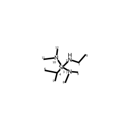 CCN[Si](C(C)C)(N(C)C)N(C)C